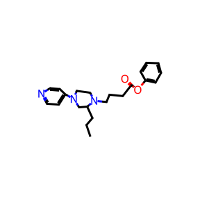 CCCC1CN(c2ccncc2)CCN1CCCC(=O)Oc1ccccc1